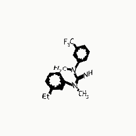 CCc1cccc(N(C)C(=N)N(C)c2cccc(C(F)(F)F)c2)c1